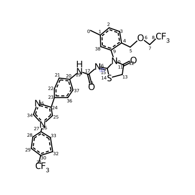 Cc1ccc(COCC(F)(F)F)c(N2C(=O)CS/C2=N\C(=O)Nc2ccc(-c3cn(-c4ccc(C(F)(F)F)cc4)cn3)cc2)c1